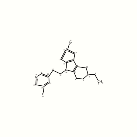 CCN1CCc2c(c3cc(Br)ccc3n2CCc2cncc(F)c2)C1